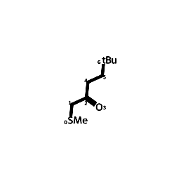 CSCC(=O)CCC(C)(C)C